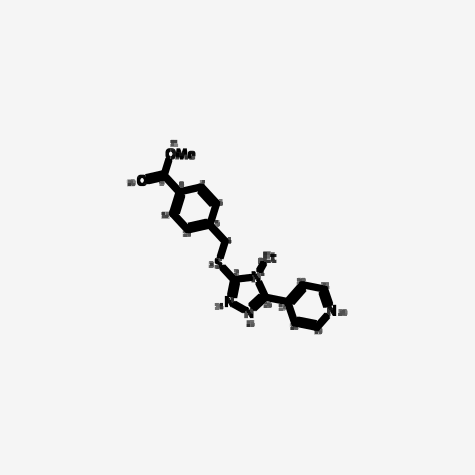 CCn1c(SCc2ccc(C(=O)OC)cc2)nnc1-c1ccncc1